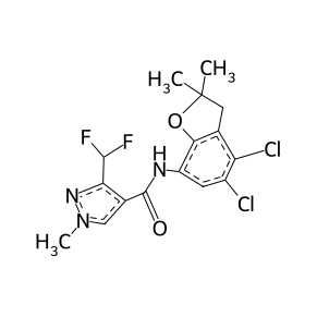 Cn1cc(C(=O)Nc2cc(Cl)c(Cl)c3c2OC(C)(C)C3)c(C(F)F)n1